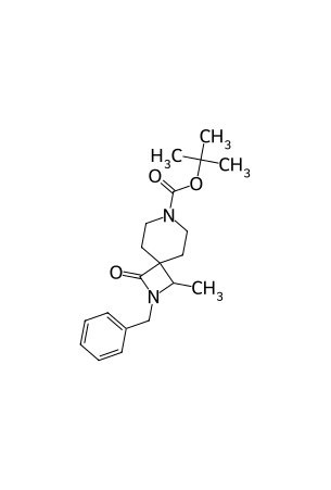 CC1N(Cc2ccccc2)C(=O)C12CCN(C(=O)OC(C)(C)C)CC2